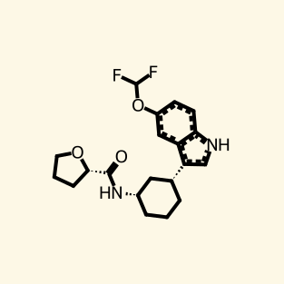 O=C(N[C@H]1CCC[C@@H](c2c[nH]c3ccc(OC(F)F)cc23)C1)[C@@H]1CCCO1